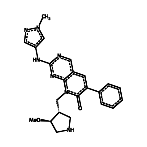 CO[C@@H]1CNC[C@H]1Cn1c(=O)c(-c2ccccc2)cc2cnc(Nc3cnn(C)c3)nc21